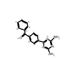 Nc1nc(N)nc(-c2ccc(C(=O)c3ccccc3)cc2)n1